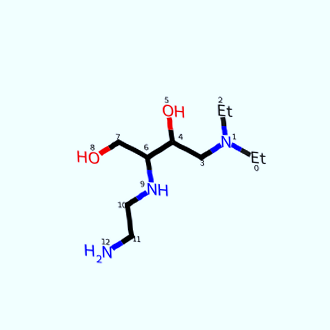 CCN(CC)CC(O)C(CO)NCCN